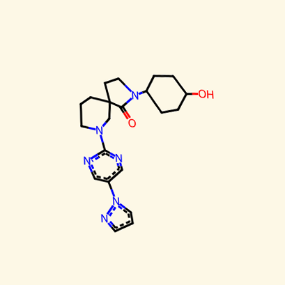 O=C1N(C2CCC(O)CC2)CCC12CCCN(c1ncc(-n3cccn3)cn1)C2